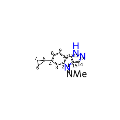 CNn1c2cc(C3CC3)ccc2c2[nH]ncc21